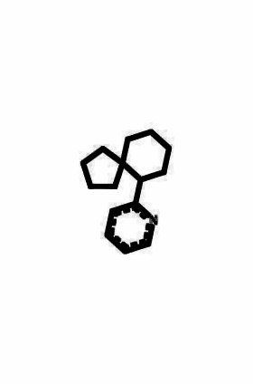 c1ccc(C2CCCCC23CCCC3)nc1